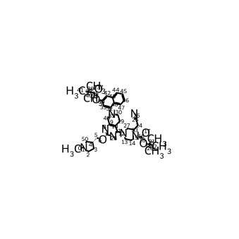 CN1CC[C@@H](COc2nc3c(c(N4CCN(C(=O)OC(C)(C)C)C(CC#N)C4)n2)CCN(c2cc(OC(=O)C(C)(C)C)cc4ccccc24)C3)C1